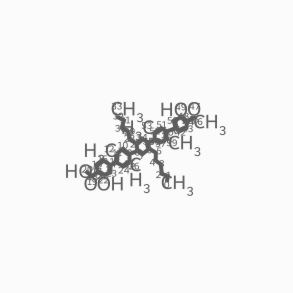 CCCCCCc1cc(-c2cc(C)c(-c3ccc(C(=O)O)c(O)c3)cc2C)c(CCCCCC)cc1-c1cc(C)c(-c2ccc(C(C)=O)c(O)c2)cc1C